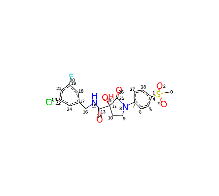 CS(=O)(=O)c1ccc(N2CC[C@](O)(C(=O)NCc3cc(F)cc(Cl)c3)C2=O)cc1